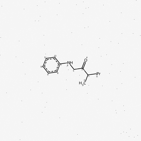 CC(C)C(C)C(=O)CNc1ccccc1